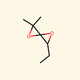 CCC1OC12OC2(C)C